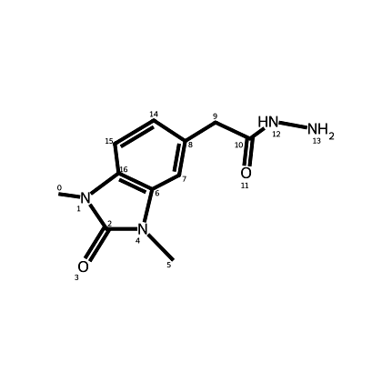 Cn1c(=O)n(C)c2cc(CC(=O)NN)ccc21